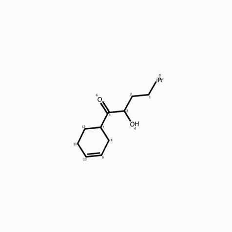 CC(C)CCC(O)C(=O)C1CC=CCC1